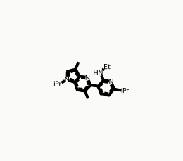 CCNc1nc(C(C)C)ccc1-c1nc2c(C)cn(C(C)C)c2cc1C